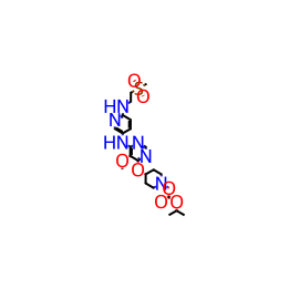 COc1c(Nc2ccc(NCCS(C)(=O)=O)nc2)ncnc1OC1CCN(OC(=O)OC(C)C)CC1